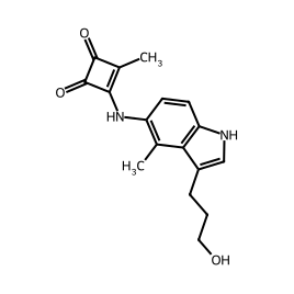 Cc1c(Nc2ccc3[nH]cc(CCCO)c3c2C)c(=O)c1=O